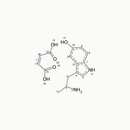 CC(N)Cc1c[nH]c2ccc(O)cc12.O=C(O)/C=C\C(=O)O